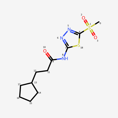 CS(=O)(=O)c1nnc(NC(=O)CCC2CCCC2)s1